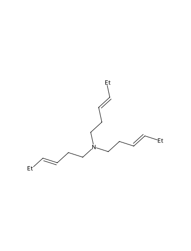 CC/C=C/CCN(CC/C=C/CC)CC/C=C/CC